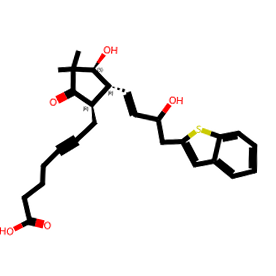 CC1(C)C(=O)[C@H](CC#CCCCC(=O)O)[C@@H](C=CC(O)Cc2cc3ccccc3s2)[C@@H]1O